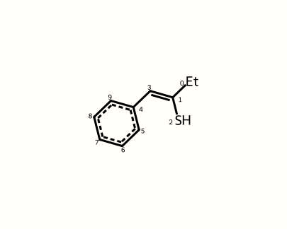 CCC(S)=Cc1ccccc1